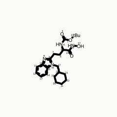 CC(C)(C)OC(=O)NC(CCc1nc2ccccc2n1CC1CCCCC1)C(=O)NO